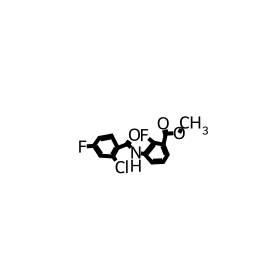 COC(=O)c1cccc(NC(=O)c2ccc(F)cc2Cl)c1F